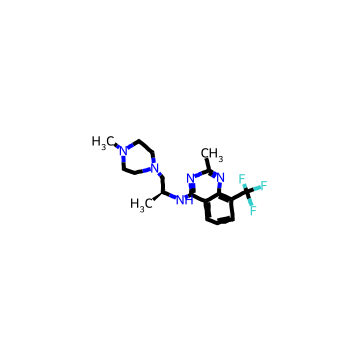 Cc1nc(N[C@@H](C)CN2CCN(C)CC2)c2cccc(C(F)(F)F)c2n1